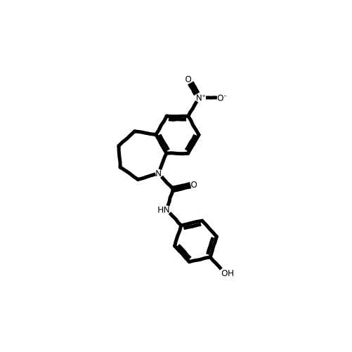 O=C(Nc1ccc(O)cc1)N1CCCCc2cc([N+](=O)[O-])ccc21